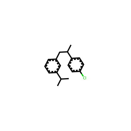 CC(C)c1cccc(CC(C)c2ccc(Cl)cc2)c1